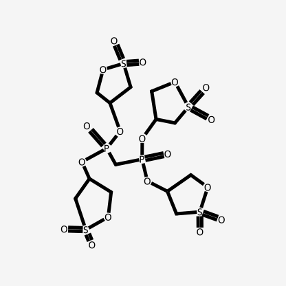 O=P(CP(=O)(OC1COS(=O)(=O)C1)OC1COS(=O)(=O)C1)(OC1COS(=O)(=O)C1)OC1COS(=O)(=O)C1